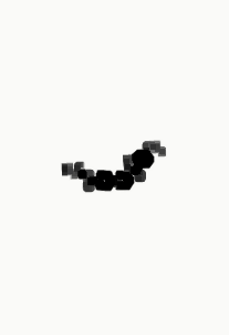 CCOC(=O)N1CCC(N2CCC[C@@H](NC(=O)c3ccc(C)cc3)C2)CC1